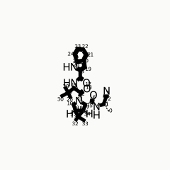 C[C@@H](C#N)NC(=O)[C@@H]1[C@@H]2[C@H](CN1C(=O)[C@@H](NC(=O)c1cc3ccccc3[nH]1)C(C)(C)C)C2(C)C